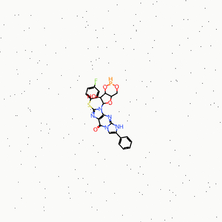 O=c1c2nc(Sc3ccc(F)cc3)n(C3OC4COPOC4C3O)c2nc2[nH]c(-c3ccccc3)cn12